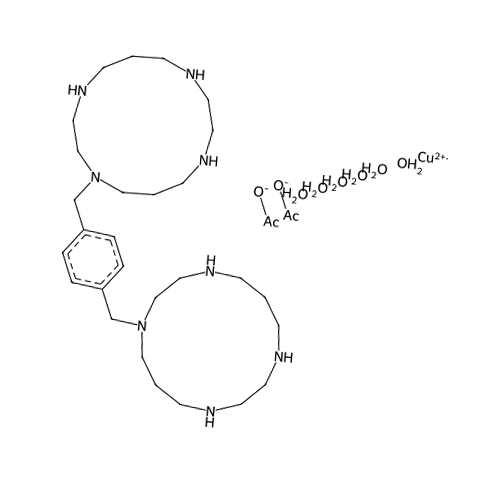 CC(=O)[O-].CC(=O)[O-].O.O.O.O.O.O.[Cu+2].c1cc(CN2CCCNCCNCCCNCC2)ccc1CN1CCCNCCNCCCNCC1